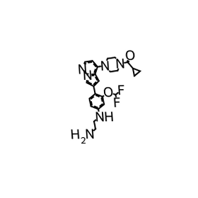 NCCNc1ccc(-c2cc3c(N4CCN(C(=O)C5CC5)CC4)ccnn3c2)c(OC(F)F)c1